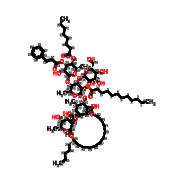 CCCCCCCCCCCC(=O)O[C@H]1[C@H](O[C@H]2[C@@H](O)[C@H]3OCCCCCCCCCC[C@H](CCCCC)O[C@@H]4O[C@H](C)[C@H](O)[C@H](O)[C@H]4O[C@H]3C[C@@H]2C)O[C@@H](C)[C@H](O[C@@H]2O[C@@H](C)[C@H](OC(=O)CCCCCCC)[C@@H](OC(=O)/C=C/c3ccccc3)[C@H]2O)[C@H]1O[C@@H]1O[C@H](CO)[C@@H](O)[C@H](O)[C@H]1O